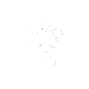 CC(=O)NCC1(CC(=O)Oc2cccc(C3(O)CCCCC3CN(C)C)c2)CCCCC1